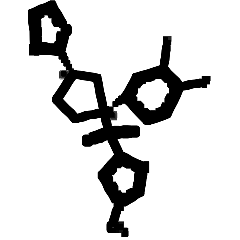 Cn1cnc(S(=O)(=O)[N@@+]2(c3ccc(F)c(F)c3)CC[C@H](c3ncco3)C2)c1